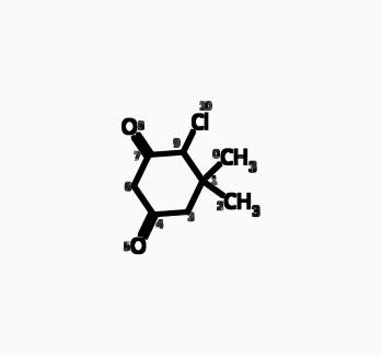 CC1(C)CC(=O)CC(=O)C1Cl